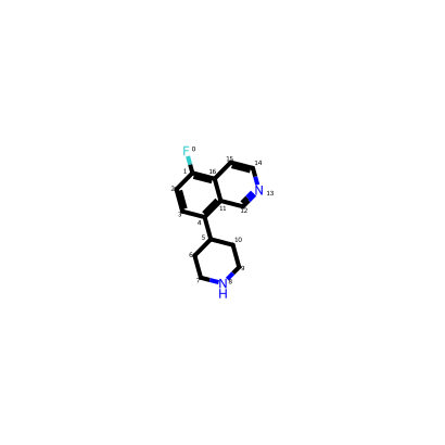 Fc1ccc(C2CCNCC2)c2cnccc12